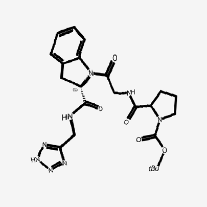 CC(C)(C)OC(=O)N1CCCC1C(=O)NCC(=O)N1c2ccccc2C[C@H]1C(=O)NCc1nn[nH]n1